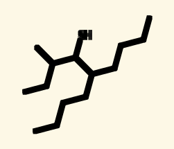 CCCCC(CCCC)C(S)C(C)CC